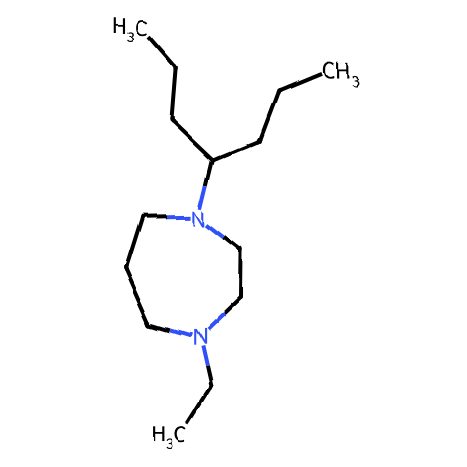 CCCC(CCC)N1CCCN(CC)CC1